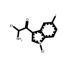 CCC(N)C(=O)c1cn(CC)c2ccc(I)cc12